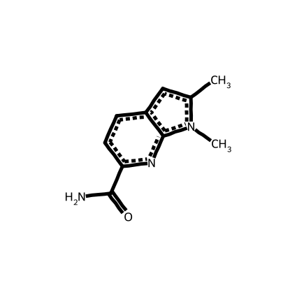 Cc1cc2ccc(C(N)=O)nc2n1C